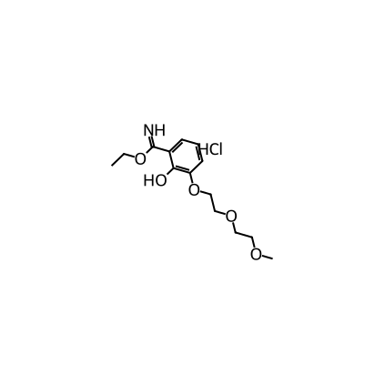 CCOC(=N)c1cccc(OCCOCCOC)c1O.Cl